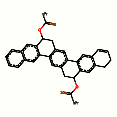 CCCC(=S)OC1Cc2cc3c(cc2-c2cc4c(cc21)CCC=C4)CC(OC(=S)CCC)c1cc2ccccc2cc1-3